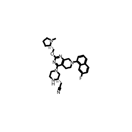 CN1CCC[C@H]1COc1nc2c(c(N3CCN[C@@H](CC#N)C3)n1)CCN(c1cccc3ccc(F)cc13)C2